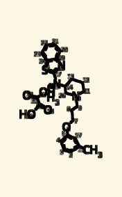 Cc1cccc(OCCCN2CCCC(N(C)c3nc4ccccc4s3)C2)c1.O=C(O)C(=O)O